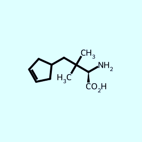 CC(C)(CC1CC=CC1)[C@@H](N)C(=O)O